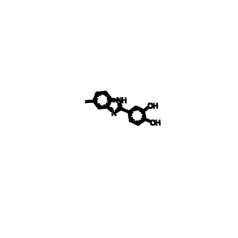 Cc1ccc2[nH]c(-c3ccc(O)c(O)c3)nc2c1